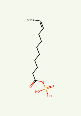 CCCCCC/C=C\CCCCCCCC(=O)OP(=O)(O)O